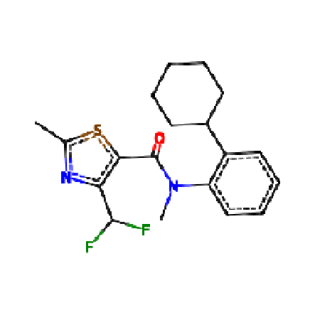 Cc1nc(C(F)F)c(C(=O)N(C)c2ccccc2C2CCCCC2)s1